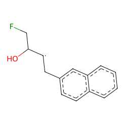 OC([CH]Cc1ccc2ccccc2c1)CF